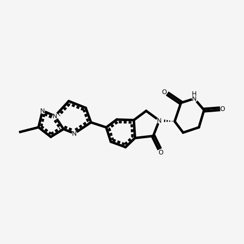 Cc1cc2nc(-c3ccc4c(c3)CN([C@H]3CCC(=O)NC3=O)C4=O)ccn2n1